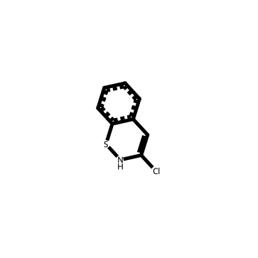 ClC1=Cc2ccccc2SN1